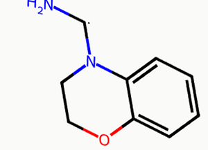 N[CH]N1CCOc2ccccc21